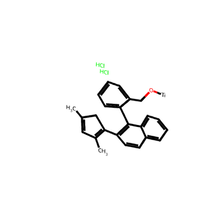 CC1=CC(C)=C(c2ccc3ccccc3c2-c2ccccc2C[O][Ti])C1.Cl.Cl